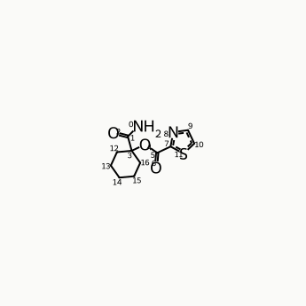 NC(=O)C1(OC(=O)c2nccs2)CCCCC1